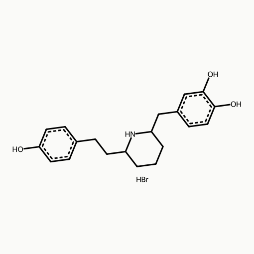 Br.Oc1ccc(CCC2CCCC(Cc3ccc(O)c(O)c3)N2)cc1